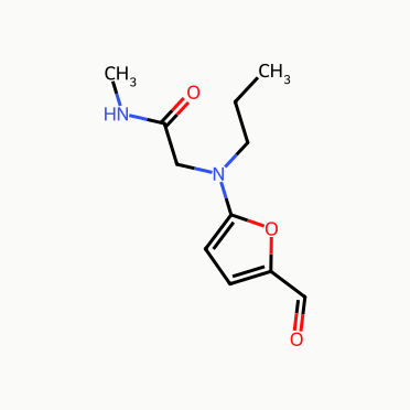 CCCN(CC(=O)NC)c1ccc(C=O)o1